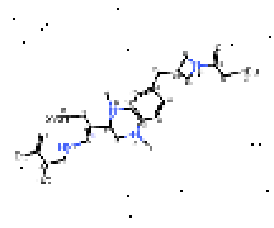 C=C(CC)C(CC)CN/C=C(\CNC)C1CN(C)c2ccc(CC3CN(C(=C)CC(C)(C)C)C3)cc2N1C